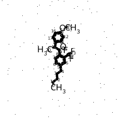 CCCCCc1ccc(C2Oc3cc(OC)ccc3C2C)c(C(F)(F)F)c1